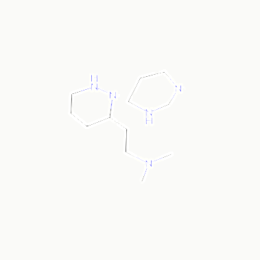 C1C[N]CNC1.CN(C)CCC1CCCN[N]1